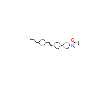 C=C(C)C(=O)N(C)C1CCC(C2CCC(/C=C/C3CCC(CCCCC)CC3)CC2)CC1